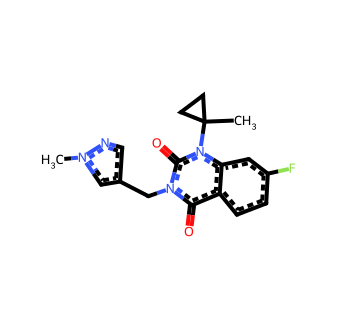 Cn1cc(Cn2c(=O)c3ccc(F)cc3n(C3(C)CC3)c2=O)cn1